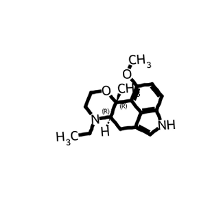 CCN1CCO[C@]2(C)c3c(OC)ccc4[nH]cc(c34)C[C@@H]12